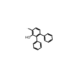 [CH2]c1ccc(-c2ccccc2)c(-c2ccccc2)c1O